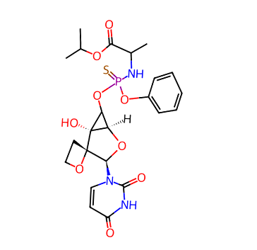 CC(C)OC(=O)C(C)NP(=S)(Oc1ccccc1)OC1[C@H]2O[C@@H](n3ccc(=O)[nH]c3=O)[C@@]3(CCO3)[C@@]12O